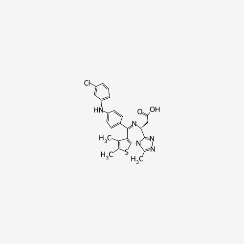 Cc1sc2c(c1C)C(c1ccc(Nc3cccc(Cl)c3)cc1)=N[C@@H](CC(=O)O)c1nnc(C)n1-2